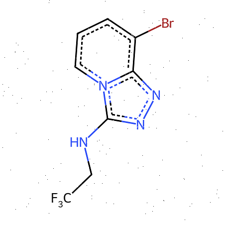 FC(F)(F)CNc1nnc2c(Br)cccn12